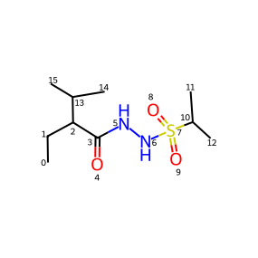 CCC(C(=O)NNS(=O)(=O)C(C)C)C(C)C